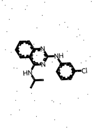 CC(C)Nc1nc(Nc2cccc(Cl)c2)nc2ccccc12